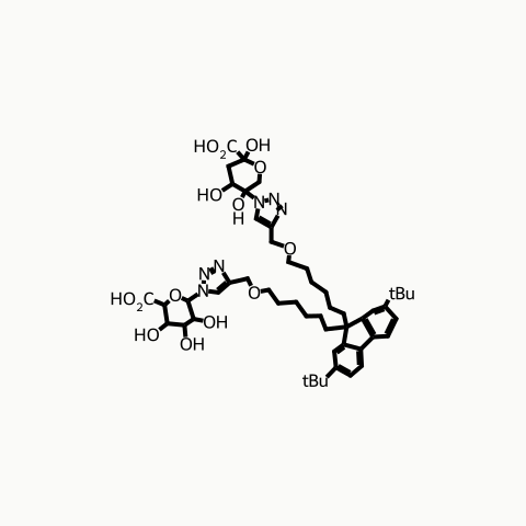 CC(C)(C)c1ccc2c(c1)C(CCCCCCOCc1cn(C3OC(C(=O)O)C(O)C(O)C3O)nn1)(CCCCCCOCc1cn(C3(O)COC(O)(C(=O)O)CC3O)nn1)c1cc(C(C)(C)C)ccc1-2